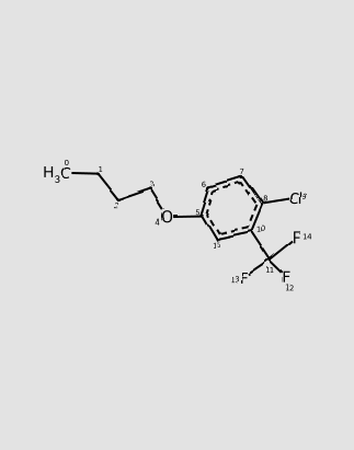 CCCCOc1ccc(Cl)c(C(F)(F)F)c1